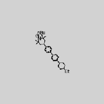 CCCCON1C(C)(C)CC(c2ccc(-c3ccc(C4CCC(CC)CC4)cc3)cc2)CC1(C)C